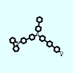 COc1ccc(-c2ccc(-c3ccc(N(c4ccc(-c5ccccc5)cc4)c4ccc(-c5ccc(-n6c7ccccc7c7ccccc76)cc5)cc4)cc3)cc2)cc1